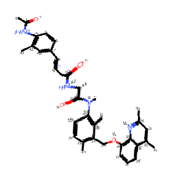 CC(=O)Nc1ccc(/C=C/C(=O)NCC(=O)N(C)c2ccc(C)c(COc3cccc4c(C)cc(C)nc34)c2C)cc1C